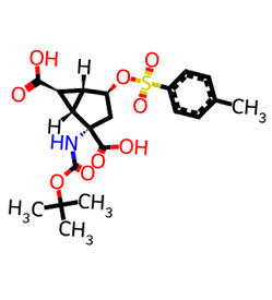 Cc1ccc(S(=O)(=O)O[C@H]2C[C@@](NC(=O)OC(C)(C)C)(C(=O)O)[C@@H]3[C@@H](C(=O)O)[C@@H]32)cc1